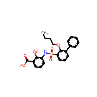 CCCCOc1c(-c2ccccc2)cccc1S(=O)(=O)Nc1cccc(C(=O)O)c1O